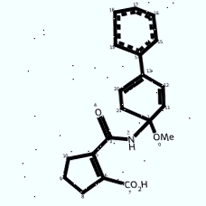 COC1(NC(=O)C2=C(C(=O)O)CCC2)C=CC(c2ccccc2)=CC1